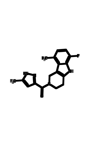 O=C(c1cc(C(F)(F)F)[nH]n1)N1CCc2[nH]c3c(F)ccc(C(F)(F)F)c3c2C1